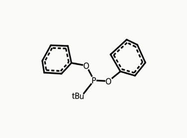 CC(C)(C)P(Oc1ccccc1)Oc1ccccc1